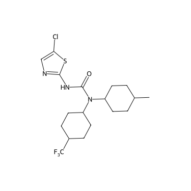 CC1CCC(N(C(=O)Nc2ncc(Cl)s2)C2CCC(C(F)(F)F)CC2)CC1